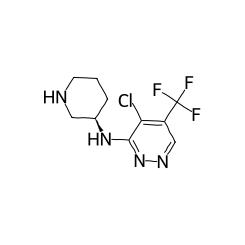 FC(F)(F)c1cnnc(N[C@@H]2CCCNC2)c1Cl